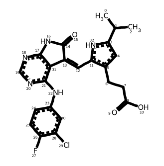 CC(C)c1cc(CCC(=O)O)c(C=C2C(=O)Nc3ncnc(Nc4ccc(F)c(Cl)c4)c32)[nH]1